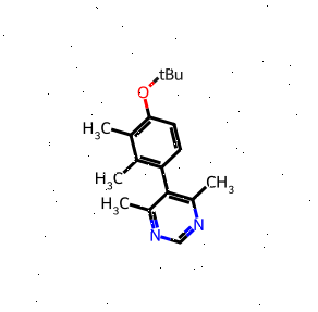 Cc1ncnc(C)c1-c1ccc(OC(C)(C)C)c(C)c1C